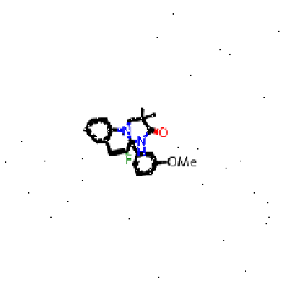 COc1cccc(C23NC(=O)C(C)(C)CN2c2ccccc2C=C3F)c1